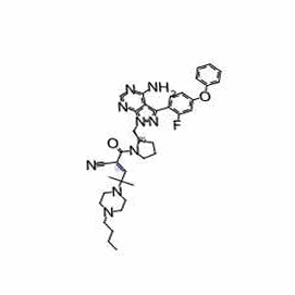 CCCCN1CCN(C(C)(C)/C=C(\C#N)C(=O)N2CCC[C@@H]2Cn2nc(-c3ccc(Oc4ccccc4)cc3F)c3c(N)ncnc32)CC1